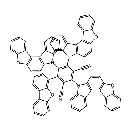 N#Cc1c(-c2cccc3c2oc2ccccc23)c(-n2c3ccccc3c3c4c(ccc32)oc2ccccc24)c(-n2c3ccccc3c3c4c(ccc32)oc2ccccc24)c(C#N)c1-n1c2ccccc2c2c3c(ccc21)oc1ccccc13